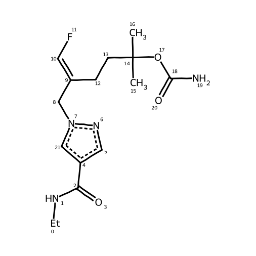 CCNC(=O)c1cnn(C/C(=C/F)CCC(C)(C)OC(N)=O)c1